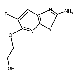 Nc1nc2cc(F)c(OCCO)nc2s1